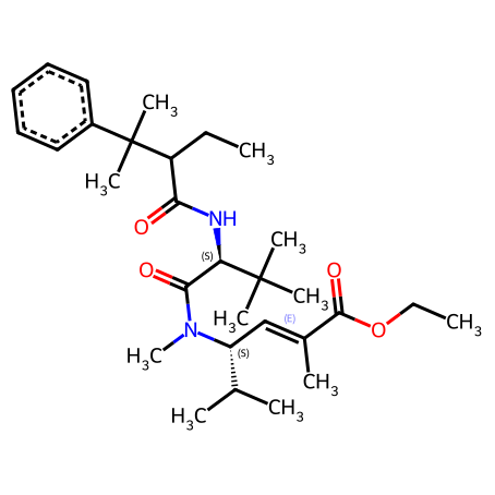 CCOC(=O)/C(C)=C/[C@H](C(C)C)N(C)C(=O)[C@@H](NC(=O)C(CC)C(C)(C)c1ccccc1)C(C)(C)C